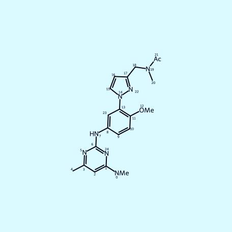 CNc1cc(C)nc(Nc2ccc(OC)c(-n3ccc(CN(C)C(C)=O)n3)c2)n1